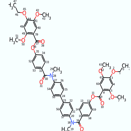 CCOc1cc(OC)c(C(=O)Oc2ccc(C(=O)N(C)c3ccc(-c4ccc(N(C)C(=O)c5ccc(OC(=O)c6cc(OC)c(OCC)cc6OC)cc5)cc4)cc3)cc2)cc1OC